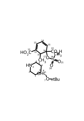 C1CCNCC1.CC(C)(C)OC=O.CC1C(C(=O)O)=CC=CC1(OS(C)(=O)=O)C(=O)O